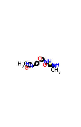 Cc1n[nH]c2sc(C(=O)N[C@@H]3CCO[C@@H](C4CCC(CN5CCN(C)C(=O)C5)CC4)C3)cc12